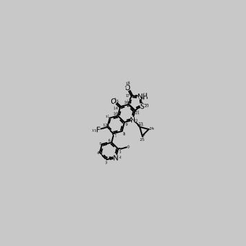 Cc1ncccc1-c1cc2c(cc1F)c(=O)c1c(=O)[nH]sc1n2C1CC1